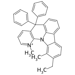 CCc1ccc2c3cccc4c3n(c2c1C)-c1c(ccc[n+]1C)C4(c1ccccc1)c1ccccc1